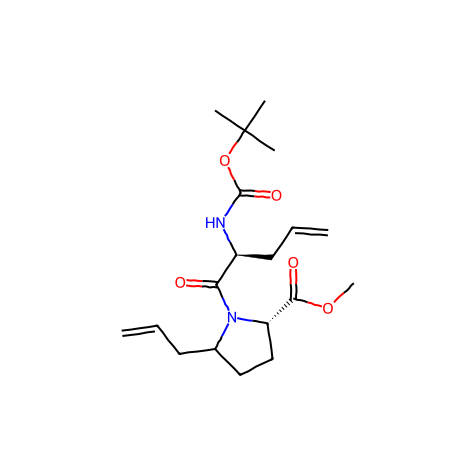 C=CCC1CC[C@@H](C(=O)OC)N1C(=O)[C@H](CC=C)NC(=O)OC(C)(C)C